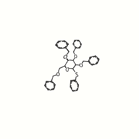 c1ccc(COCC2OC(Sc3ccccc3)C(OCc3ccccc3)C(OCc3ccccc3)C2OCc2ccccc2)cc1